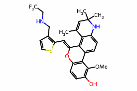 COc1c(O)ccc2c1-c1ccc3c(c1/C(=C/c1sccc1CNCC(F)(F)F)O2)C(C)=CC(C)(C)N3